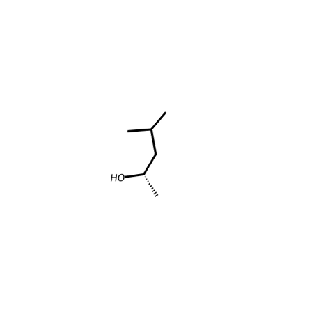 CC(C)C[C@H](C)O